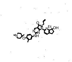 C=CCn1c(=O)c2cnc(Nc3ccc(OC4(C)CCN(C)CC4)c(C)c3)nc2n1-c1ccc2c(n1)[C@@](O)(CC)CC2